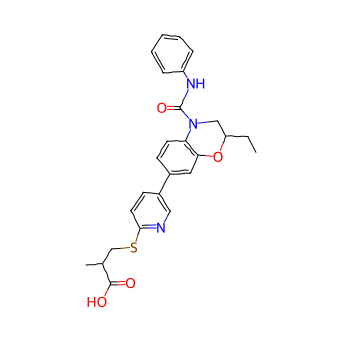 CCC1CN(C(=O)Nc2ccccc2)c2ccc(-c3ccc(SCC(C)C(=O)O)nc3)cc2O1